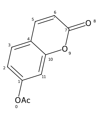 CC(=O)Oc1ccc2c[c]c(=O)oc2c1